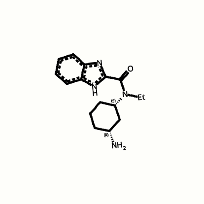 CCN(C(=O)c1nc2ccccc2[nH]1)[C@H]1CCC[C@@H](N)C1